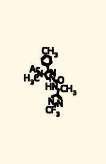 CC(=O)N(C)[C@@H]1CN(C(=O)N[C@H](C)c2cnc(C(F)(F)F)nc2)N=C1c1ccc(C)cc1